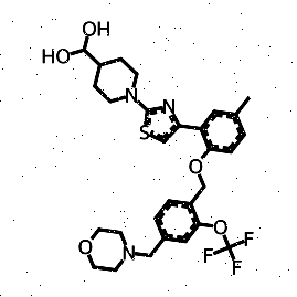 Cc1ccc(OCc2ccc(CN3CCOCC3)cc2OC(F)(F)F)c(-c2csc(N3CCC(C(O)O)CC3)n2)c1